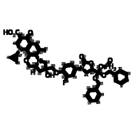 O=[PH2]OC(OCc1ccccc1)(OCc1ccccc1)C1CN(c2ccc(OC[C@]3(O)C[C@H]4COc5c(c(F)cc6c(=O)c(C(=O)O)cn(C7CC7)c56)N4C3)c(F)c2)C(=O)O1